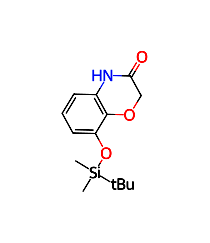 CC(C)(C)[Si](C)(C)Oc1cccc2c1OCC(=O)N2